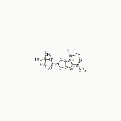 CC(C)(C)OC(=O)N1Cc2nc(C(N)=O)n(C(F)F)c2C1